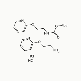 CC(C)(C)OC(=O)NCCOc1ccccn1.Cl.Cl.NCCOc1ccccn1